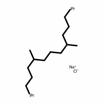 CC(C)CCCC(C)CCCC(C)CCCC(C)C.[Cl-].[Na+]